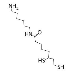 NCCCCCCNC(=O)CCCCC(S)CCS